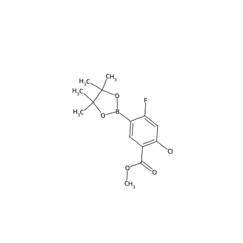 COC(=O)c1cc(B2OC(C)(C)C(C)(C)O2)c(F)cc1Cl